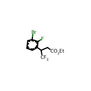 CCOC(=O)CC(c1cccc(Br)c1F)C(F)(F)F